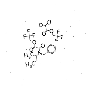 CCC(C)N(Cc1ccccc1)C(=O)C(=O)OCC(F)(F)F.O=C(Cl)C(=O)OCC(F)(F)F